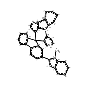 Cn1c(-c2ccc3c(c2)C2(c4ccccc4-3)c3ccccc3-n3c4ccccc4c4cccc2c43)nc2ccccc21